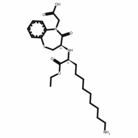 CCOC(=O)[C@H](CCCCCCCCCN)N[C@H]1CSc2ccccc2N(CC(=O)O)C1=O